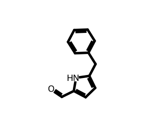 O=Cc1ccc(Cc2ccccc2)[nH]1